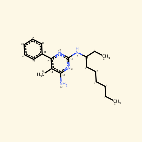 CCCCCCC(CC)Nc1nc(N)c(C)c(-c2ccccc2)n1